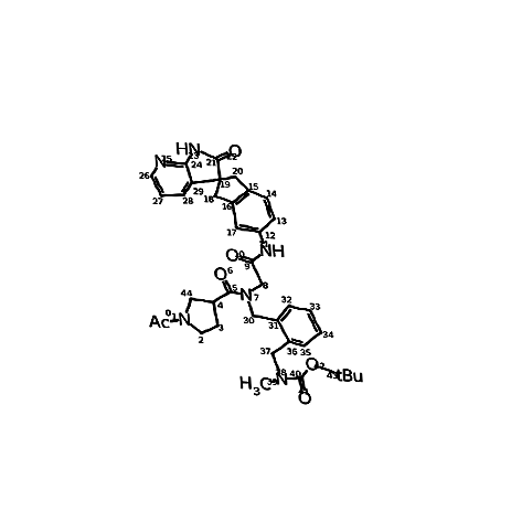 CC(=O)N1CCC(C(=O)N(CC(=O)Nc2ccc3c(c2)CC2(C3)C(=O)Nc3ncccc32)Cc2ccccc2CN(C)C(=O)OC(C)(C)C)C1